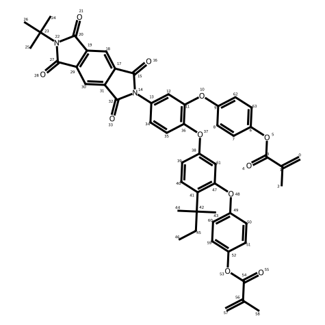 C=C(C)C(=O)Oc1ccc(Oc2cc(-n3c(=O)c4cc5c(=O)n(C(C)(C)C)c(=O)c5cc4c3=O)ccc2Oc2ccc(C(C)(C)CC)c(Oc3ccc(OC(=O)C(=C)C)cc3)c2)cc1